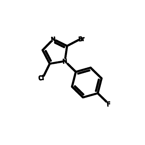 Fc1ccc(-n2c(Cl)cnc2Br)cc1